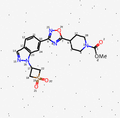 COC(=O)N1CCC(c2nc(-c3ccc4cnn(C5CS(=O)(=O)C5)c4c3)no2)CC1